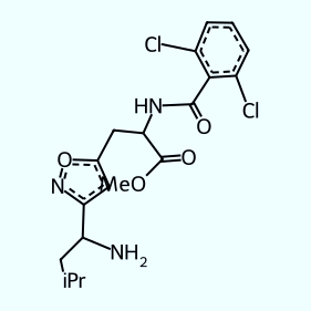 COC(=O)C(Cc1cc(C(N)CC(C)C)no1)NC(=O)c1c(Cl)cccc1Cl